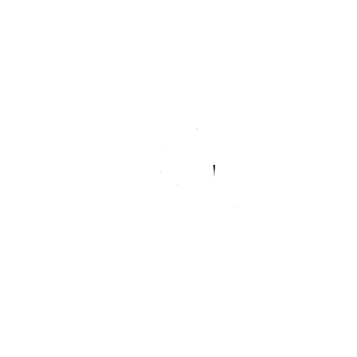 C[C@]12CC3OC34[C@@H](CC3OC35CC(=O)CCC54CCO)[C@@H]1CCC2=O